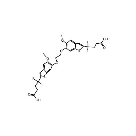 COc1cc2cc(C(F)(F)CCC(=O)O)sc2cc1OCCOc1cc2sc(C(F)(F)CCC(=O)O)cc2cc1OC